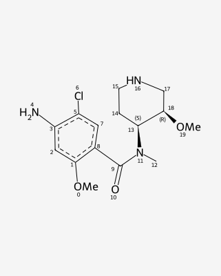 COc1cc(N)c(Cl)cc1C(=O)N(C)[C@H]1CCNC[C@H]1OC